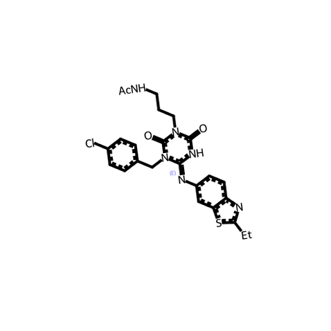 CCc1nc2ccc(/N=c3\[nH]c(=O)n(CCCNC(C)=O)c(=O)n3Cc3ccc(Cl)cc3)cc2s1